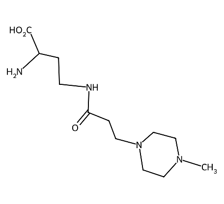 CN1CCN(CCC(=O)NCCC(N)C(=O)O)CC1